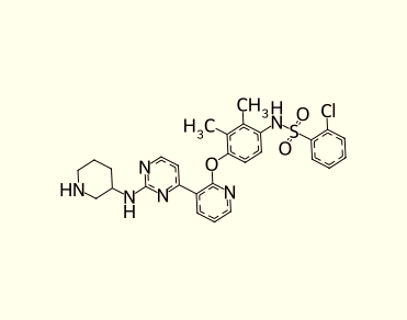 Cc1c(NS(=O)(=O)c2ccccc2Cl)ccc(Oc2ncccc2-c2ccnc(NC3CCCNC3)n2)c1C